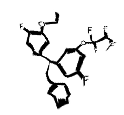 C=COc1cc([C@H](Cc2ccccc2)c2cc(F)cc(OC(F)(F)C(F)F)c2)ccc1F